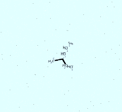 CCO.Cl.Cl.Cl.[Sm]